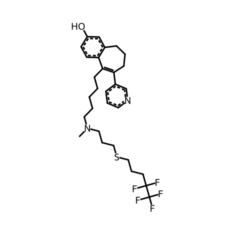 CN(CCCCCC1=C(c2cccnc2)CCCc2cc(O)ccc21)CCCSCCCC(F)(F)C(F)(F)F